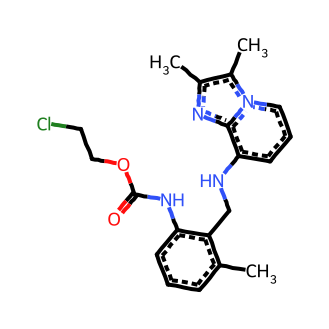 Cc1cccc(NC(=O)OCCCl)c1CNc1cccn2c(C)c(C)nc12